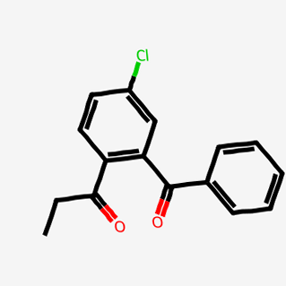 CCC(=O)c1ccc(Cl)cc1C(=O)c1ccccc1